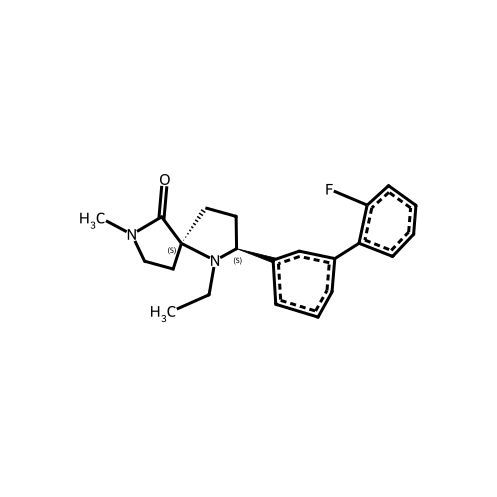 CCN1[C@H](c2cccc(-c3ccccc3F)c2)CC[C@@]12CCN(C)C2=O